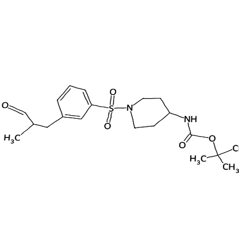 CC(C=O)Cc1cccc(S(=O)(=O)N2CCC(NC(=O)OC(C)(C)C)CC2)c1